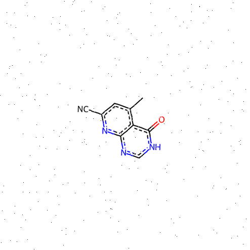 Cc1cc(C#N)nc2nc[nH]c(=O)c12